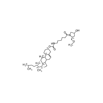 COC[C@@H]1CC(O)CN1C(=O)CCCCCNC(=O)O[C@H]1CC[C@@]2(C)C(=CCC3C2CC[C@@]2(C)C3CC[C@@H]2[C@H](C)CCCC(C)C)C1